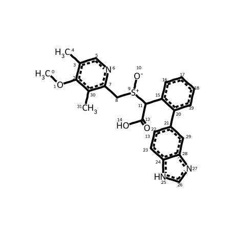 COc1c(C)cnc(C[S+]([O-])C(C(=O)O)c2ccccc2-c2ccc3[nH]cnc3c2)c1C